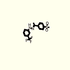 C/C(=N\Nc1cccc(C(F)(F)F)c1)c1ccc(S(C)(=O)=O)cc1